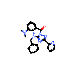 CN(C)c1cccc(C(=O)n2nc(-c3ccccn3)nc2NCc2ccccc2)c1